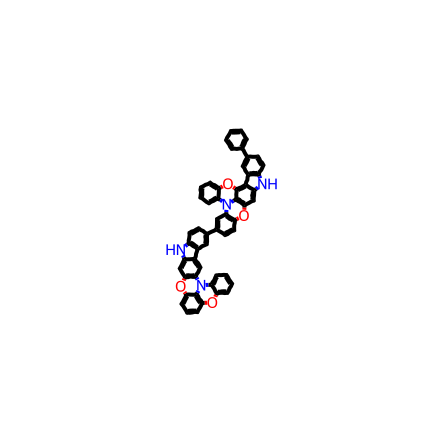 c1ccc(-c2ccc3[nH]c4cc5c6c(c4c3c2)Oc2ccccc2N6c2cc(-c3ccc4[nH]c6cc7c(cc6c4c3)N3c4ccccc4Oc4cccc(c43)O7)ccc2O5)cc1